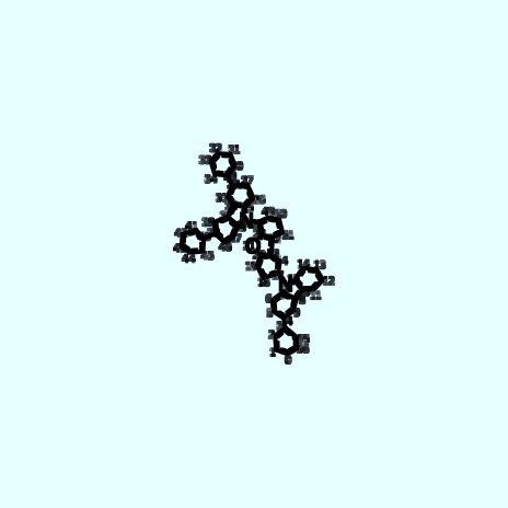 c1ccc(-c2ccc3c(c2)c2ccccc2n3-c2ccc3oc4c(-n5c6ccc(-c7ccccc7)cc6c6cc(-c7ccccc7)ccc65)cccc4c3c2)cc1